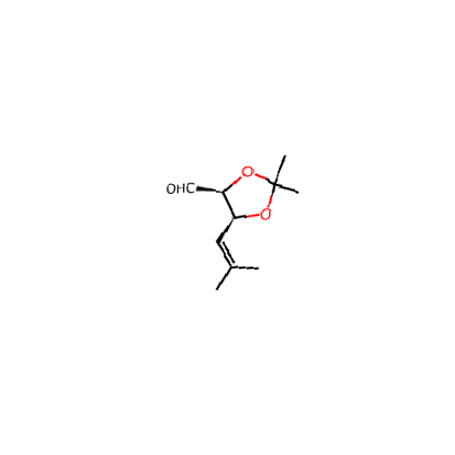 CC(C)=C[C@@H]1OC(C)(C)O[C@@H]1C=O